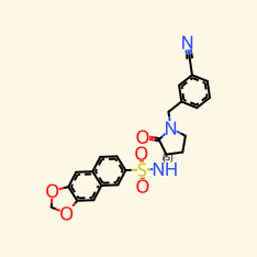 N#Cc1cccc(CN2CC[C@H](NS(=O)(=O)c3ccc4cc5c(cc4c3)OCO5)C2=O)c1